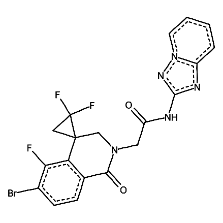 O=C(CN1CC2(CC2(F)F)c2c(ccc(Br)c2F)C1=O)Nc1nc2ccccn2n1